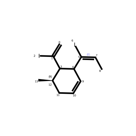 C=C(I)C1C(/C(I)=C\C)C=CC[C@H]1C